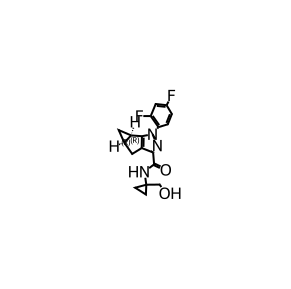 O=C(NC1(CO)CC1)c1nn(-c2ccc(F)cc2F)c2c1C[C@H]1C[C@@H]21